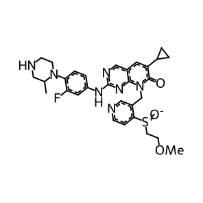 COCC[S+]([O-])c1ccncc1Cn1c(=O)c(C2CC2)cc2cnc(Nc3ccc(N4CCNCC4C)c(F)c3)nc21